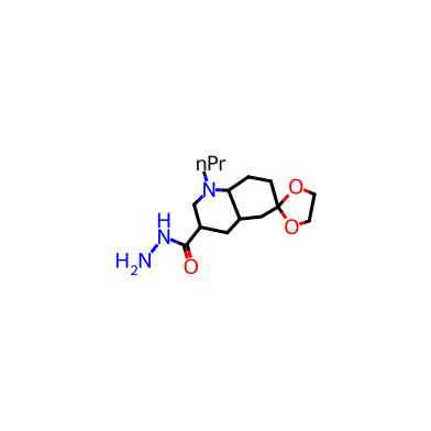 CCCN1CC(C(=O)NN)CC2CC3(CCC21)OCCO3